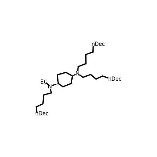 CCCCCCCCCCCCCCN(CC)[C@H]1CC[C@@H](N(CCCCCCCCCCCCCC)CCCCCCCCCCCCCC)CC1